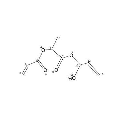 C=CC(=O)OC(C)C(=O)OC(O)C=C